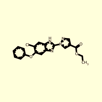 CCOC(=O)c1cnn(-c2nc3cc(Oc4ccccc4)c(Cl)cc3[nH]2)c1